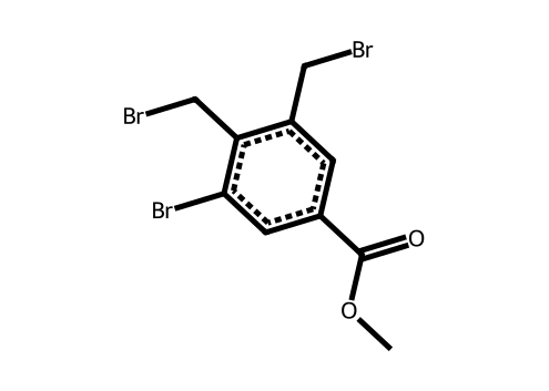 COC(=O)c1cc(Br)c(CBr)c(CBr)c1